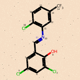 Oc1c(Cl)cc(Cl)cc1/C=N/c1cc(C(F)(F)F)ccc1Cl